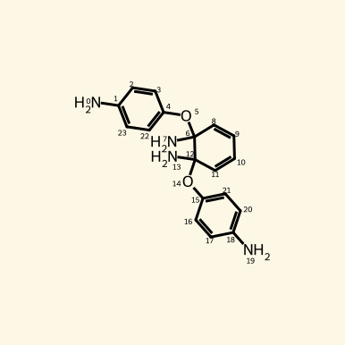 Nc1ccc(OC2(N)C=CC=CC2(N)Oc2ccc(N)cc2)cc1